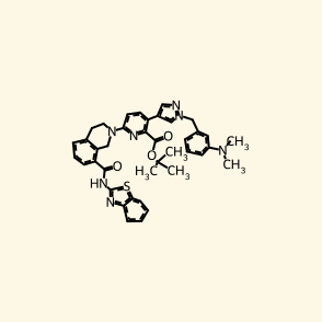 CN(C)c1cccc(Cn2cc(-c3ccc(N4CCc5cccc(C(=O)Nc6nc7ccccc7s6)c5C4)nc3C(=O)OC(C)(C)C)cn2)c1